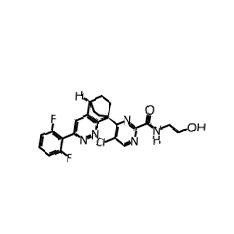 O=C(NCCO)c1ncc(Cl)c([C@]23CC[C@H](CC2)c2cc(-c4c(F)cccc4F)nnc23)n1